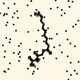 C=CCCCCCCCCC(=O)SCC(=O)NC(C)=O